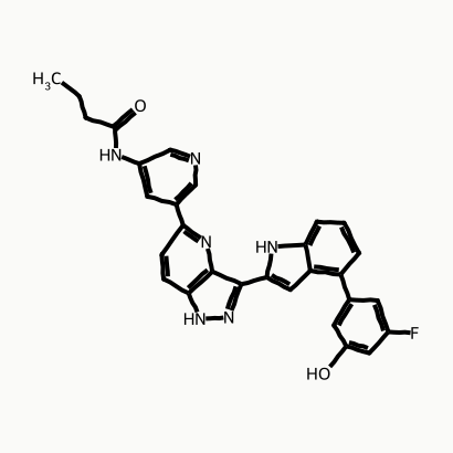 CCCC(=O)Nc1cncc(-c2ccc3[nH]nc(-c4cc5c(-c6cc(O)cc(F)c6)cccc5[nH]4)c3n2)c1